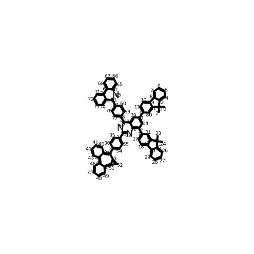 CC1(C)c2ccccc2-c2ccc(-c3cc(-c4ccc5c(c4)C(C)(C)c4ccccc4-5)c4nc(-c5ccc(C6=c7ccccc7=c7ccccc7=C7C=C76)cc5)nc(-c5ccc(-c6nc7ccccc7c7ccccc67)cc5)c4c3)cc21